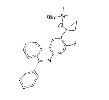 CC(C)(C)[Si](C)(C)OC1(c2ccc(N=C(c3ccccc3)c3ccccc3)cc2F)CC1